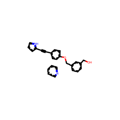 OCc1cccc(COc2ccc(C#Cc3ccc[nH]3)cc2)c1.c1ccncc1